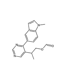 CC(COC=O)c1cncnc1-c1ccc2c(ccn2C)c1